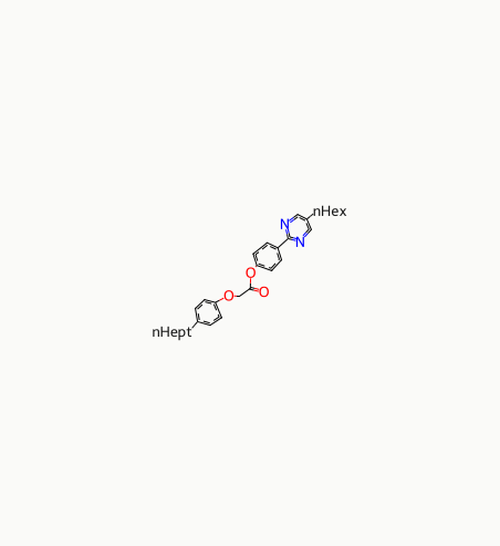 CCCCCCCc1ccc(OCC(=O)Oc2ccc(-c3ncc(CCCCCC)cn3)cc2)cc1